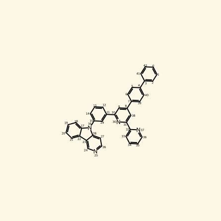 c1ccc(-c2ccc(-c3cc(-c4cccc(-n5c6ccccc6c6cnccc65)c4)nc(-c4ccccn4)c3)cc2)cc1